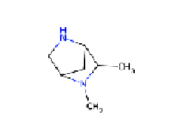 CC1C2CC(CN2)N1C